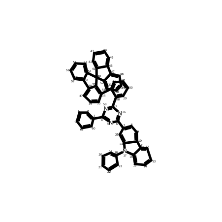 c1ccc(-c2nc(-c3ccc4c5ccccc5n(-c5ccccc5)c4c3)nc(-c3ccccc3-c3cccc4c3C3(c5ccccc5-c5ccccc53)c3ccccc3-4)n2)cc1